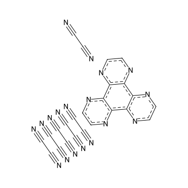 N#CC#N.N#CC#N.N#CC#N.N#CC#N.N#CC#N.N#CC#N.c1cnc2c(n1)c1nccnc1c1nccnc21